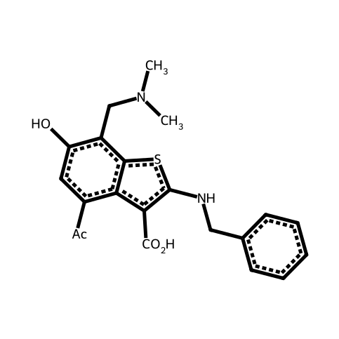 CC(=O)c1cc(O)c(CN(C)C)c2sc(NCc3ccccc3)c(C(=O)O)c12